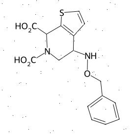 O=C(O)C1c2sccc2C(NOCc2ccccc2)CN1C(=O)O